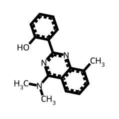 Cc1cccc2c(N(C)C)nc(-c3ccccc3O)nc12